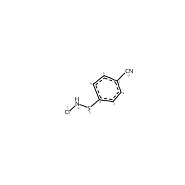 N#Cc1ccc(SNCl)cc1